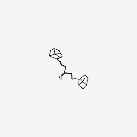 CC1(C)C2CCC(CCC(=O)CCC3CCC4CC3C4(C)C)C1C2